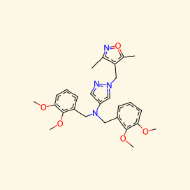 COc1cccc(CN(Cc2cccc(OC)c2OC)c2cnn(Cc3c(C)noc3C)c2)c1OC